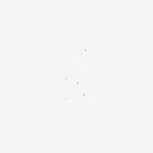 O=C(O)c1ccc(F)cc1-c1ccc2c(c1)CCC(Cc1ccccc1)C2(O)O